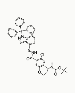 CC(C)(C)OC(=O)N[C@H]1CCOc2cc(C(=O)NSc3ccnc4c3cnn4C(c3ccccc3)(c3ccccc3)c3ccccc3)c(Cl)cc21